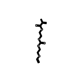 C=COCCOC(=O)OCCOC(=O)C(=C)C